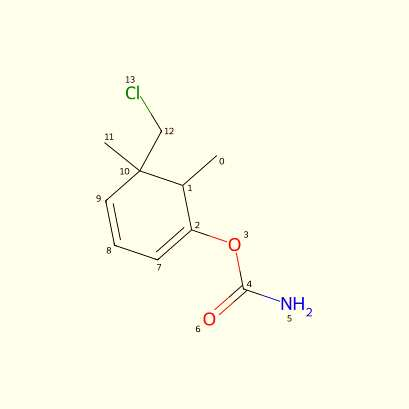 CC1C(OC(N)=O)=CC=CC1(C)CCl